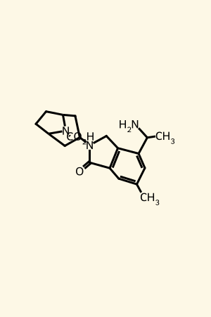 Cc1cc2c(c(C(C)N)c1)CN(C1CC3CCC(C1)N3C(=O)O)C2=O